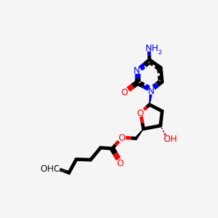 Nc1ccn([C@H]2C[C@H](O)[C@@H](COC(=O)CCCCC=O)O2)c(=O)n1